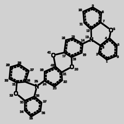 c1ccc2c(c1)Oc1ccccc1N2c1ccc2c(c1)Oc1ccc(N3c4ccccc4Oc4ccccc43)cc1O2